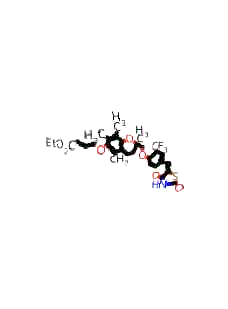 CCOC(=O)CCCOc1c(C)c(C)c2c(c1C)CCC(C)(COc1ccc(C=C3SC(=O)NC3=O)cc1C(F)(F)F)O2